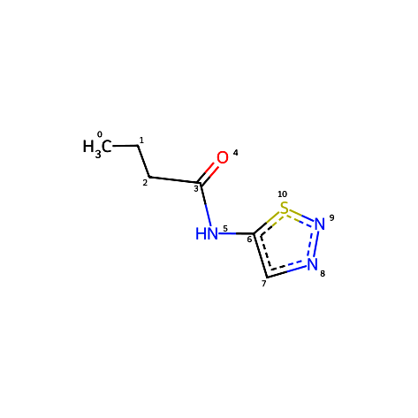 CCCC(=O)Nc1cnns1